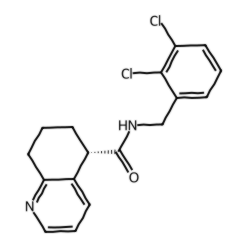 O=C(NCc1cccc(Cl)c1Cl)[C@H]1CCCc2ncccc21